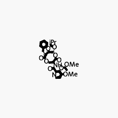 COc1ccnc(C(=O)N[C@H]2COC(=O)[C@H](Cc3ccccc3)[C@@H](OC(=O)C(C)C)[C@H](C)OC2=O)c1OC(C)OC